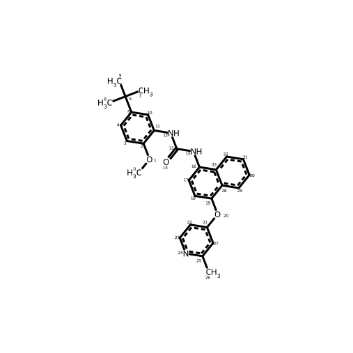 COc1ccc(C(C)(C)C)cc1NC(=O)Nc1ccc(Oc2ccnc(C)c2)c2ccccc12